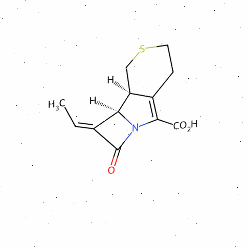 C/C=C1/C(=O)N2C(C(=O)O)=C3CCSC[C@@H]3[C@H]12